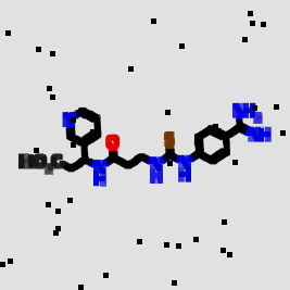 CCOC(=O)CC(NC(=O)CCNC(=S)Nc1ccc(C(=N)N)cc1)c1cccnc1